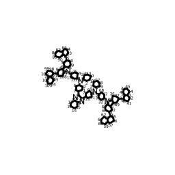 c1ccc(N(c2ccc(-c3nc4ccccc4nc3-c3ccc(N(c4ccccc4)c4ccc(-n5c6ccc(-c7cccc8ccccc78)cc6c6cc(-c7cccc8ccccc78)ccc65)cc4)cc3)cc2)c2ccc(-n3c4ccc(-c5cccc6ccccc56)cc4c4cc(-c5cccc6ccccc56)ccc43)cc2)cc1